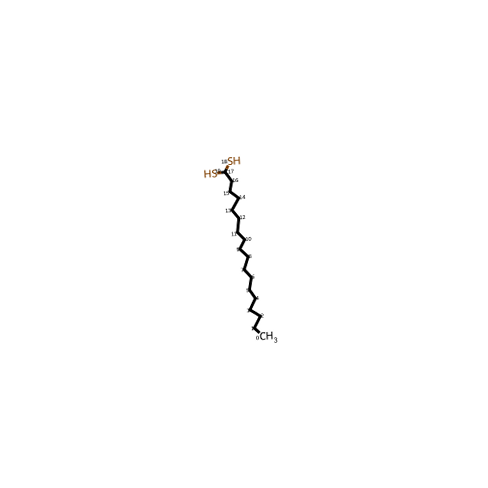 CCCCCCCCCCCCCCCCCC(S)S